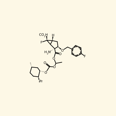 CC(OC(=O)O[C@H]1C[C@@H](C)CC[C@@H]1C(C)C)OC(=O)[C@@]1(N)C2[C@@H](C[C@H]1OCc1ccc(F)cc1)[C@]2(F)C(=O)O